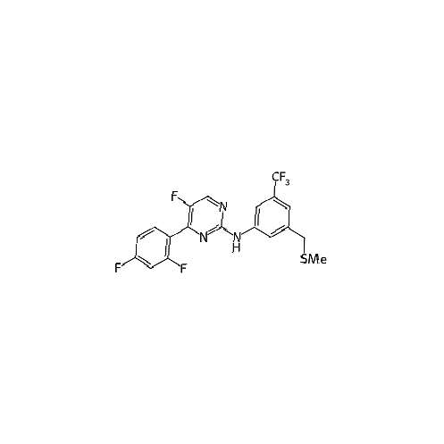 CSCc1cc(Nc2ncc(F)c(-c3ccc(F)cc3F)n2)cc(C(F)(F)F)c1